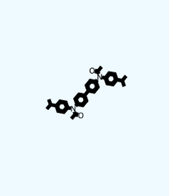 CC(=O)N(c1ccc(-c2ccc(N(C(C)=O)c3ccc(C(C)C)cc3)cc2)cc1)c1ccc(C(C)C)cc1